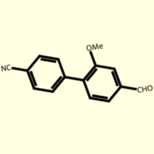 COc1cc(C=O)ccc1-c1ccc(C#N)cc1